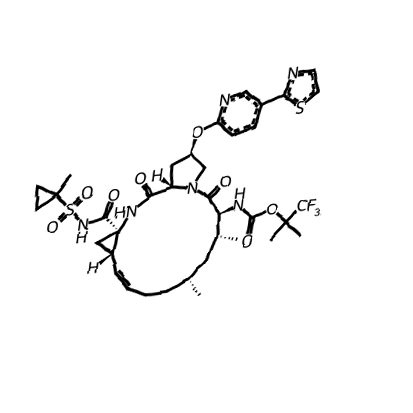 C[C@@H]1CC/C=C\[C@@H]2C[C@@]2(C(=O)NS(=O)(=O)C2(C)CC2)NC(=O)[C@@H]2C[C@@H](Oc3ccc(-c4nccs4)cn3)CN2C(=O)[C@@H](NC(=O)OC(C)(C)C(F)(F)F)[C@H](C)C1